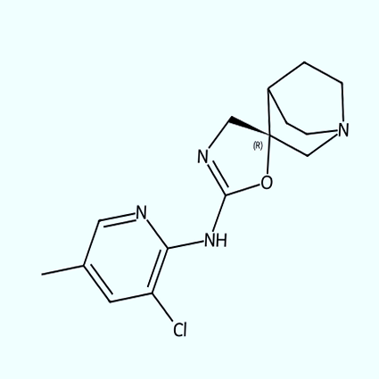 Cc1cnc(NC2=NC[C@@]3(CN4CCC3CC4)O2)c(Cl)c1